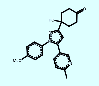 COc1ccc(-n2nc(C3(O)CCC(=O)CC3)cc2-c2ccc(C)nc2)cc1